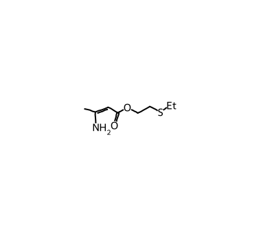 CCSCCOC(=O)C=C(C)N